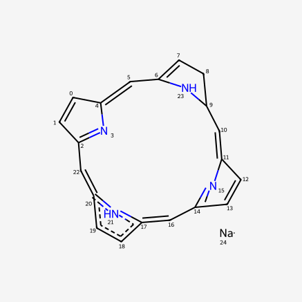 C1=CC2=NC1=CC1=CCC(C=C3C=CC(=N3)C=c3ccc([nH]3)=C2)N1.[Na]